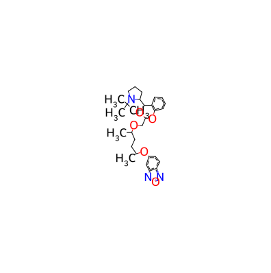 CC(CCC(C)Oc1ccc2nonc2c1)OCC1Oc2ccccc2C(C2CCCN2C(C)(C)C)O1